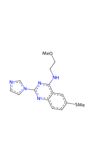 COCCNc1nc(-n2ccnc2)nc2ccc(SC)cc12